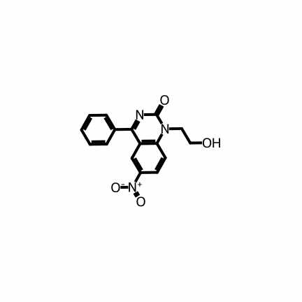 O=c1nc(-c2ccccc2)c2cc([N+](=O)[O-])ccc2n1CCO